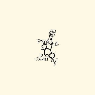 COCCOc1cc([C@H](Cc2c(Cl)c[n+](O)cc2Cl)c2cc(C=O)sc2C(=O)[O-])ccc1OC(F)F